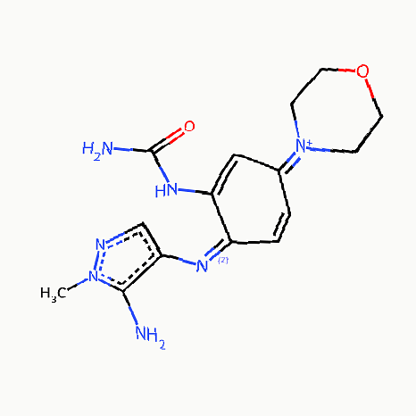 Cn1ncc(/N=C2/C=CC(=[N+]3CCOCC3)C=C2NC(N)=O)c1N